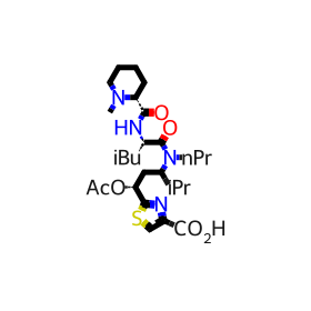 CCCN(C(=O)[C@@H](NC(=O)[C@H]1CCCCN1C)[C@@H](C)CC)C(C[C@@H](OC(C)=O)c1nc(C(=O)O)cs1)C(C)C